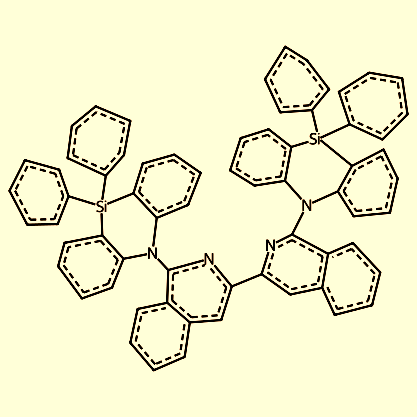 c1ccc([Si]2(c3ccccc3)c3ccccc3N(c3nc(-c4cc5ccccc5c(N5c6ccccc6[Si](c6ccccc6)(c6ccccc6)c6ccccc65)n4)cc4ccccc34)c3ccccc32)cc1